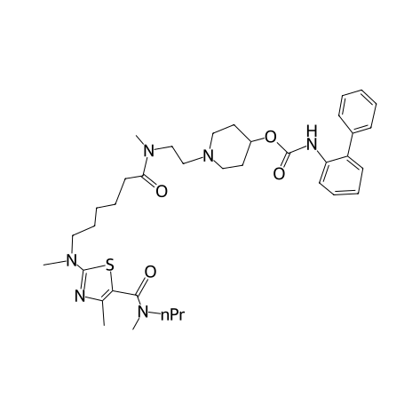 CCCN(C)C(=O)c1sc(N(C)CCCCCC(=O)N(C)CCN2CCC(OC(=O)Nc3ccccc3-c3ccccc3)CC2)nc1C